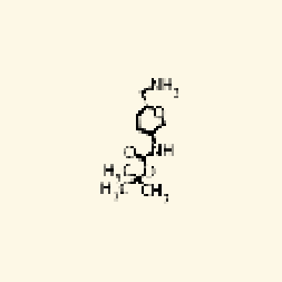 CC(C)(C)OC(=O)NC1CC[C@@H](CN)OC1